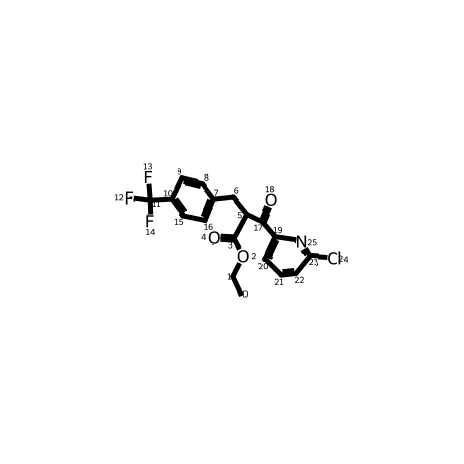 CCOC(=O)C(Cc1ccc(C(F)(F)F)cc1)C(=O)c1cccc(Cl)n1